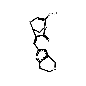 O=C(O)C1=CSC2CN1C(=O)C2=Cc1cc2c(s1)CCOC2